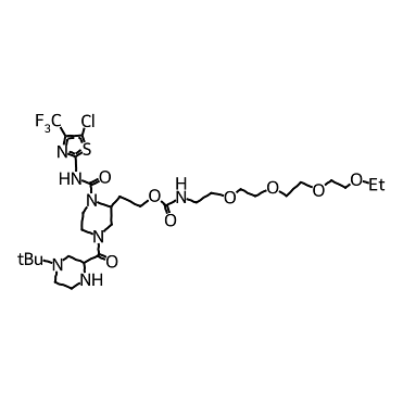 CCOCCOCCOCCOCCNC(=O)OCCC1CN(C(=O)C2CN(C(C)(C)C)CCN2)CCN1C(=O)Nc1nc(C(F)(F)F)c(Cl)s1